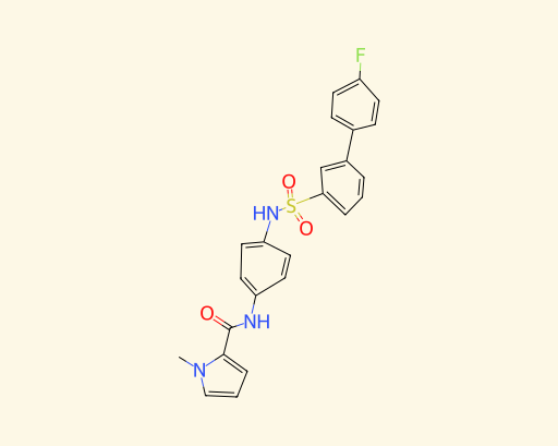 Cn1cccc1C(=O)Nc1ccc(NS(=O)(=O)c2cccc(-c3ccc(F)cc3)c2)cc1